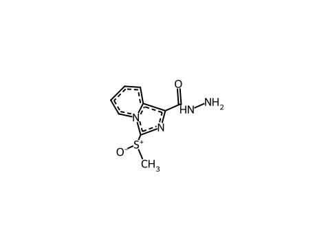 C[S+]([O-])c1nc(C(=O)NN)c2ccccn12